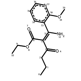 CCCC(=O)C(C(=O)OCC)=C(N)c1cccnc1OC